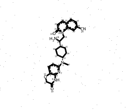 CN(c1ccc2c(n1)NC(=O)CO2)[C@H]1CC[C@H](C(N)Cn2c(=O)ccc3ccc(C#N)cc32)CC1